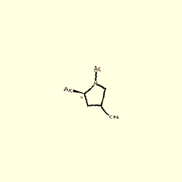 CC(=O)[C@@H]1CC(C#N)CN1C(C)=O